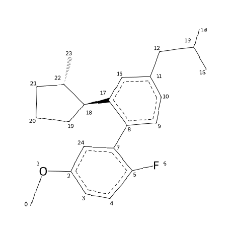 COc1ccc(F)c(-c2ccc(CC(C)C)cc2[C@H]2CCC[C@@H]2C)c1